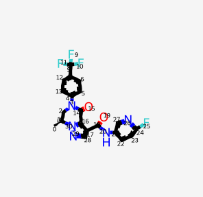 C[C@H]1CN(c2ccc(C(F)(F)F)cc2)C(=O)c2c(C(=O)Nc3ccc(F)nc3)cnn21